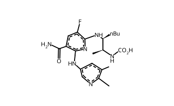 CCCC[C@H](Nc1nc(Nc2cnc(C)c(C)c2)c(C(N)=O)cc1F)[C@H](C)NC(=O)O